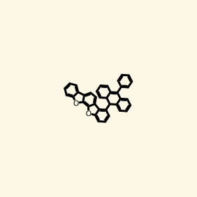 C1=CC2=C(c3ccccc3)c3ccccc3C(c3cccc4oc5c(ccc6c7ccccc7oc65)c34)C2C=C1